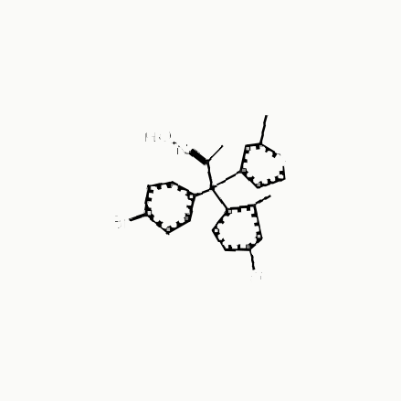 CC(=NO)C(c1ccc(Br)cc1)(c1ccnc(C)c1)c1ccc(Cl)cc1C